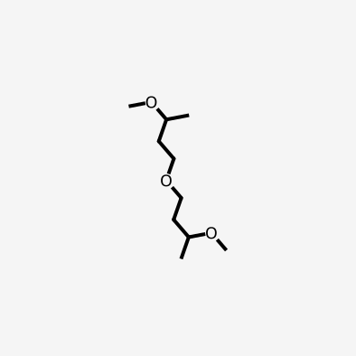 COC(C)CCOCCC(C)OC